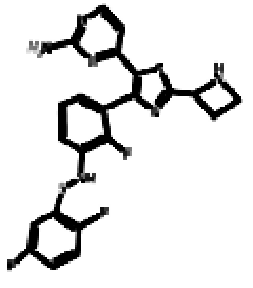 Nc1nccc(-c2sc(C3CCN3)nc2-c2cccc(NSc3cc(F)ccc3F)c2F)n1